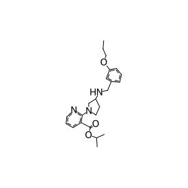 CCCOc1cccc(CNC2CCN(c3ncccc3C(=O)OC(C)C)C2)c1